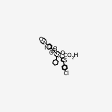 O=C(O)c1sc(-c2ccc(Cl)cc2)cc1N1C(=O)CN(S(=O)(=O)c2ccc(N3CCOCC3)nc2)CC1C1CCCCC1